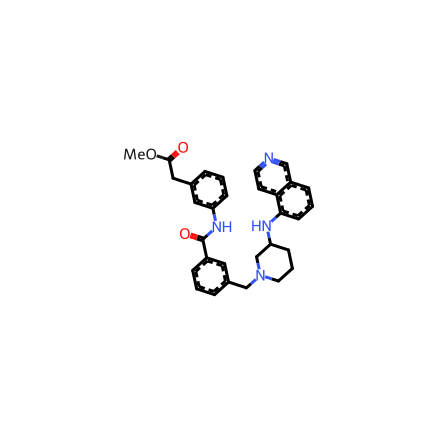 COC(=O)Cc1cccc(NC(=O)c2cccc(CN3CCCC(Nc4cccc5cnccc45)C3)c2)c1